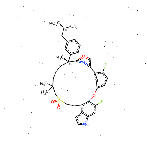 C[C@@H](Cc1cccc([C@@]2(C)CCCC(C)(C)CS(=O)(=O)CCc3c(c(F)cc4[nH]ccc34)Oc3ccc(F)c(c3)-c3coc2n3)c1)C(=O)O